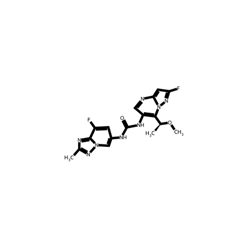 CO[C@@H](C)c1c(NC(=O)Nc2cc(F)c3nc(C)nn3c2)cnc2cc(F)nn12